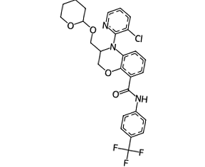 O=C(Nc1ccc(C(F)(F)F)cc1)c1cccc2c1OCC(COC1CCCCO1)N2c1ncccc1Cl